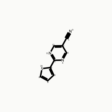 N#Cc1cnc(-c2cccs2)nc1